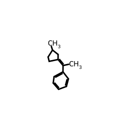 CC(=C1CCC(C)C1)c1ccccc1